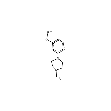 CCCOc1ccnc(N2CCN(C)CC2)c1